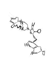 COc1ccccc1N1CCN(C2=N/C(=C\c3c[nH]c4ncc(Cl)cc34)C(=O)N2)CC1